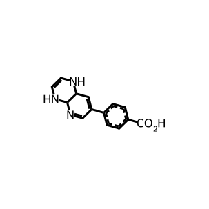 O=C(O)c1ccc(C2=CC3NC=CNC3N=C2)cc1